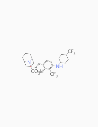 O=C(O)C1CC2CCCC(C1)N2Cc1ccc2c(C(F)(F)F)c(NC3CCC(C(F)(F)F)CC3)ccc2c1